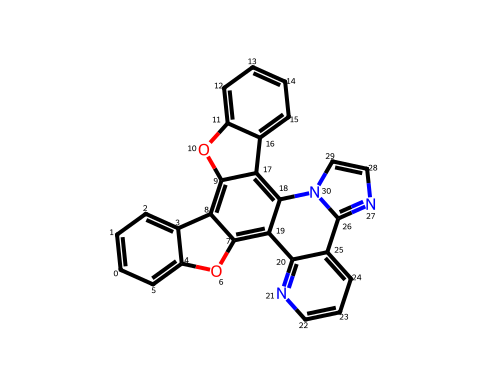 c1ccc2c(c1)oc1c2c2oc3ccccc3c2c2c1c1ncccc1c1nccn12